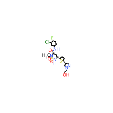 CN1[C@@H](C(=O)Nc2ccc(F)c(Cl)c2)C[C@@H](c2ccc(-c3cnn(CCO)c3)s2)NS1(=O)=O